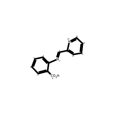 O=C(O)c1ccccc1/N=C/c1ccccn1